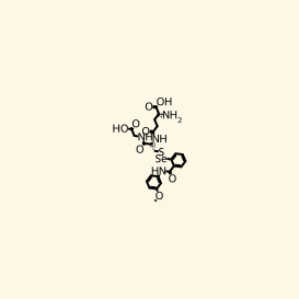 COc1cccc(NC(=O)c2ccccc2[Se]SC[C@@H](NC(=O)CC[C@@H](N)C(=O)O)C(=O)NCC(=O)O)c1